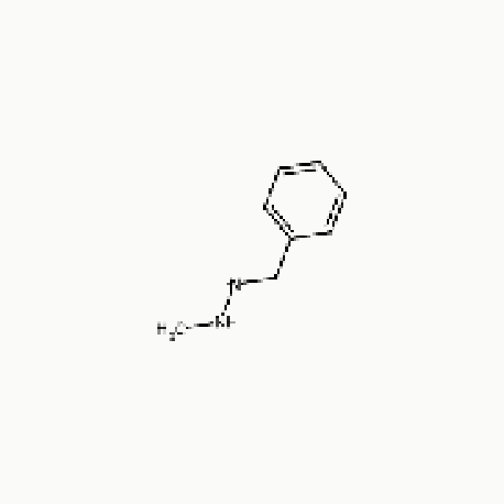 CN[N]Cc1ccccc1